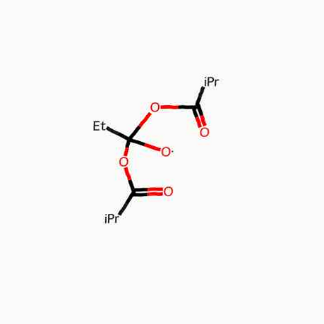 CCC([O])(OC(=O)C(C)C)OC(=O)C(C)C